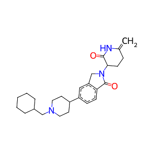 C=C1CCC(N2Cc3cc(C4CCN(CC5CCCCC5)CC4)ccc3C2=O)C(=O)N1